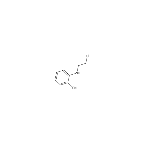 N#Cc1ccccc1NCCCl